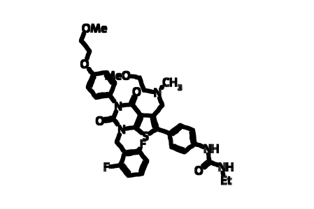 CCNC(=O)Nc1ccc(-c2sc3c(c2CN(C)CCOC)c(=O)n(-c2ccc(OCCOC)cc2)c(=O)n3Cc2c(F)cccc2F)cc1